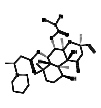 C=C[C@@]1(C)CC(=O)[C@]2(O)[C@@]3(C)[C@@H](O)CCC(C)(C)[C@@H]3[C@H](OC(=O)CC(C)N3CCCCC3)[C@H](OC(=O)N(CC)CC)[C@@]2(C)O1